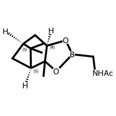 CC(=O)NCB1O[C@@H]2C[C@@H]3C[C@@H](C3(C)C)C2(C)O1